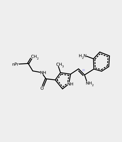 C=C(CCC)CNC(=O)c1c[nH]c(/C=C(\N)c2ccccc2N)c1C